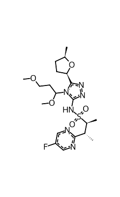 COCCC(OC)n1c(NS(=O)(=O)[C@@H](C)[C@H](C)c2ncc(F)cn2)nnc1[C@H]1CC[C@@H](C)O1